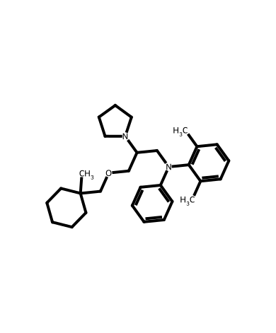 Cc1cccc(C)c1N(CC(COCC1(C)CCCCC1)N1CCCC1)c1ccccc1